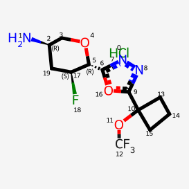 Cl.N[C@H]1CO[C@H](c2nnc(C3(OC(F)(F)F)CCC3)o2)[C@@H](F)C1